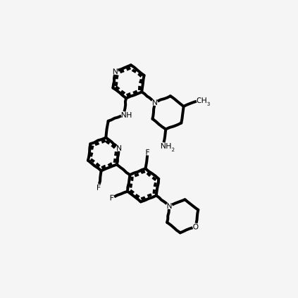 CC1CC(N)CN(c2ccncc2NCc2ccc(F)c(-c3c(F)cc(N4CCOCC4)cc3F)n2)C1